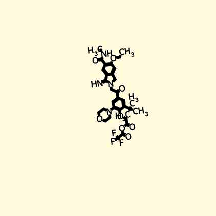 CCOc1cc2c(cc1C(=O)NC)C(=N)N(CC(=O)c1cc(N3CCOCC3)c(OCC(=O)OC(=O)C(F)(F)F)c(C(C)(C)C)c1)C2